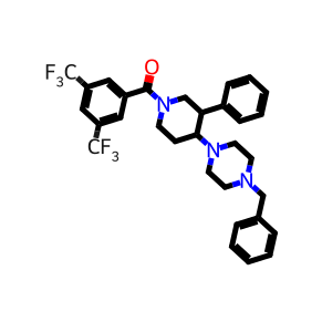 O=C(c1cc(C(F)(F)F)cc(C(F)(F)F)c1)N1CCC(N2CCN(Cc3ccccc3)CC2)C(c2ccccc2)C1